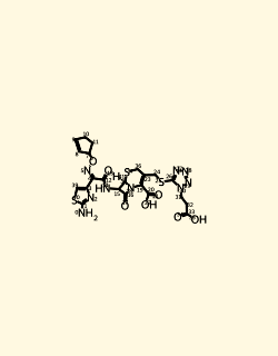 Nc1nc(/C(=N/OC2C=CCC2)C(=O)NC2C(=O)N3C(C(=O)O)=C(CSc4nnnn4CCC(=O)O)CS[C@H]23)cs1